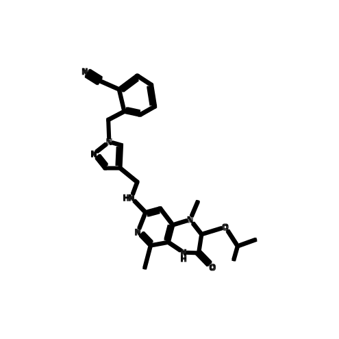 Cc1nc(NCc2cnn(Cc3ccccc3C#N)c2)cc2c1NC(=O)C(OC(C)C)N2C